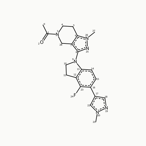 CC(=O)N1CCc2c(c(N3CCc4c3ccc(-c3cnn(C)c3)c4F)nn2C)C1